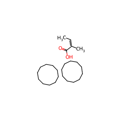 C1CCCCCCCCC1.C1CCCCCCCCC1.CC=C(C)C(=O)O